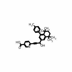 Cc1ccc(-c2cc(C(O)C#Cc3ccc(C(=O)O)cn3)cc3c2C(C)(C)CCC3(C)C)cc1